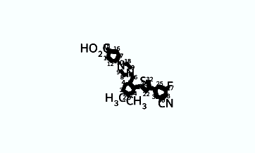 CC1(C)CCC(CN2CCN(c3ccc(C(=O)O)cc3)CC2)=C(c2cc(-c3cc(F)cc(C#N)c3)cs2)C1